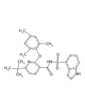 Cc1cc(C)c(Oc2nc(C(C)(C)C)ccc2C(=O)NS(=O)(=O)c2cccc3[nH]ccc23)c(C)c1